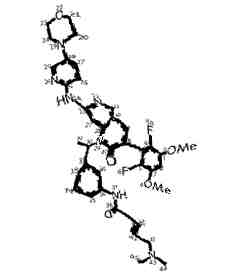 COc1cc(OC)c(F)c(-c2cc3cnc(Nc4ccc(N5CCOCC5)cn4)cc3n(C(C)c3cccc(NC(=O)/C=C/CN(C)C)c3)c2=O)c1F